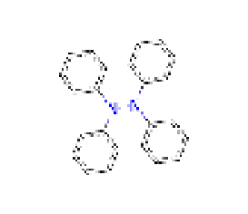 c1ccc(N(c2ccccc2)N(c2ccccc2)c2ccccc2)cc1